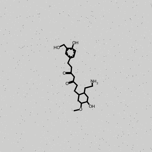 COC1CC(CCC(=O)CC(=O)CCc2ccc(O)c(CO)c2)C(CCN)CC1O